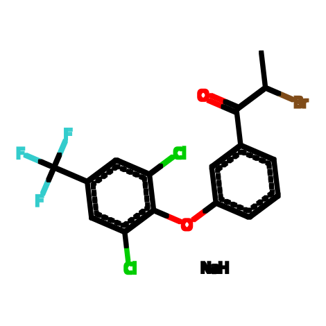 CC(Br)C(=O)c1cccc(Oc2c(Cl)cc(C(F)(F)F)cc2Cl)c1.[NaH]